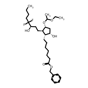 CCCCC(F)(F)[C@H](O)CC[C@@H]1[C@@H](CCCCCCC(=O)OCc2ccccc2)[C@@H](O)C[C@H]1OC(C)OCC